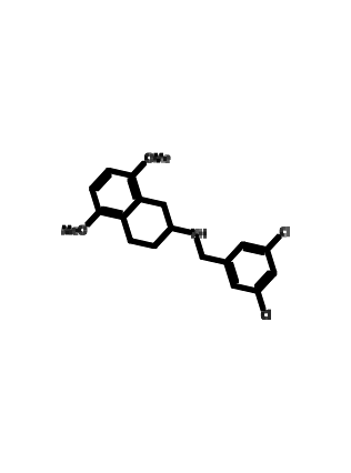 COc1ccc(OC)c2c1CCC(NCc1cc(Cl)cc(Cl)c1)C2